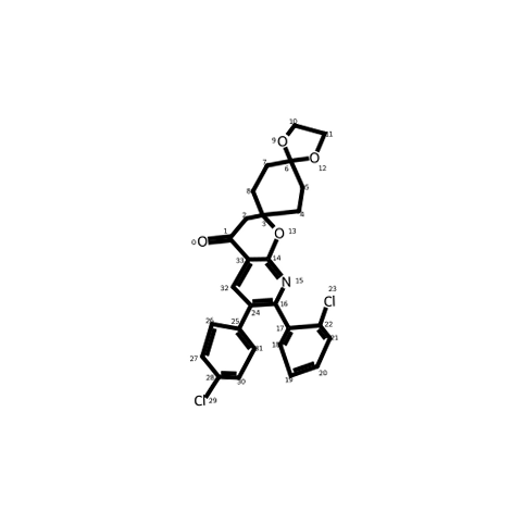 O=C1CC2(CCC3(CC2)OCCO3)Oc2nc(-c3ccccc3Cl)c(-c3ccc(Cl)cc3)cc21